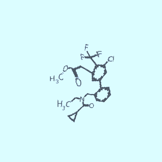 CCN(Cc1ccccc1-c1cc(Cl)c(C(F)(F)F)c(CC(=O)OC)c1)C(=O)C1CC1